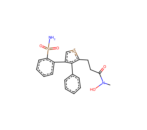 CN(O)C(=O)CCc1scc(-c2ccccc2S(N)(=O)=O)c1-c1ccccc1